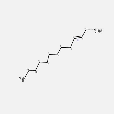 CCCCCCCC/C=C/CCCCCCCCNC